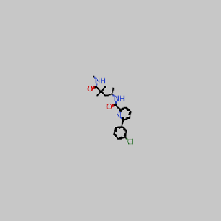 CNC(=O)C(C)(C)CC(C)NC(=O)c1cccc(-c2cccc(Cl)c2)n1